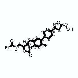 CCC(=O)NCC1OC(=O)N2c3cc(F)c(-c4ccc(C5=NO[C@H](CO)C5)nc4)cc3C[C@@H]12